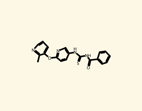 Cc1ncccc1Oc1ccc(NC(=S)NC(=O)c2ccccc2)cn1